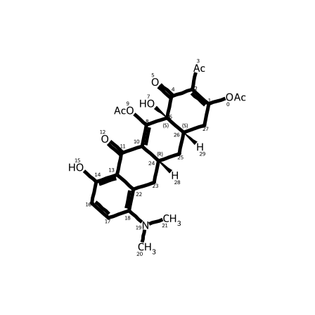 CC(=O)OC1=C(C(C)=O)C(=O)[C@@]2(O)C(OC(C)=O)=C3C(=O)c4c(O)ccc(N(C)C)c4C[C@H]3C[C@H]2C1